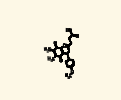 COc1ccc(C(CCCCC(=O)O)C2=C(C)C(=O)C(C)=C(C)C2=O)cc1